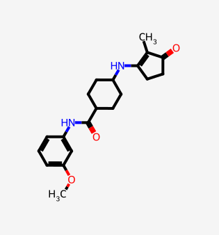 COc1cccc(NC(=O)C2CCC(NC3=C(C)C(=O)CC3)CC2)c1